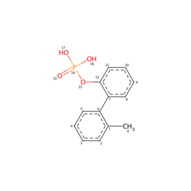 Cc1ccccc1-c1ccccc1OP(=O)(O)O